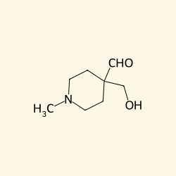 CN1CCC(C=O)(CO)CC1